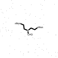 CCCCCCCCCCCN(C=O)CCCCCCCCCCC